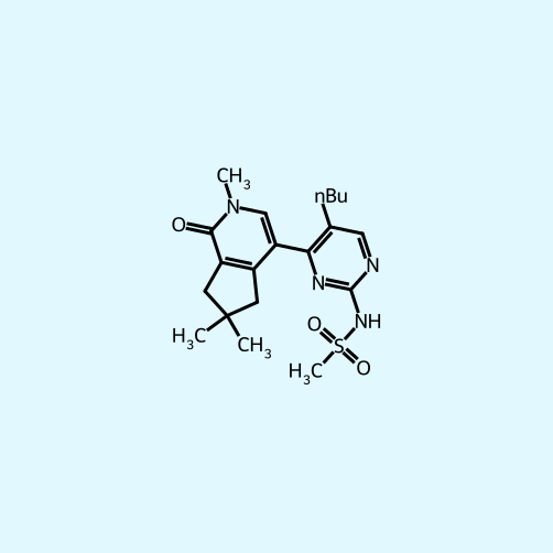 CCCCc1cnc(NS(C)(=O)=O)nc1-c1cn(C)c(=O)c2c1CC(C)(C)C2